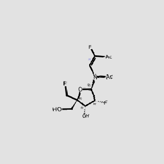 CC(=O)/C(F)=C\N(C(C)=O)[C@@H]1O[C@@](CO)(CF)[C@@H](O)[C@H]1F